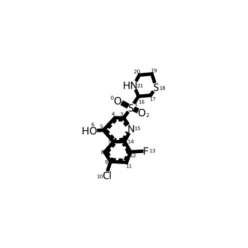 O=S(=O)(c1cc(O)c2cc(Cl)cc(F)c2n1)C1CSCCN1